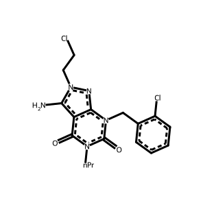 CCCn1c(=O)c2c(N)n(CCCl)nc2n(Cc2ccccc2Cl)c1=O